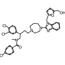 CN(CC(CCN1CCCN(c2nc3ccccc3n2Cc2ccc(CO)o2)CC1)c1ccc(Cl)c(Cl)c1)C(=O)c1ccc(Cl)cc1